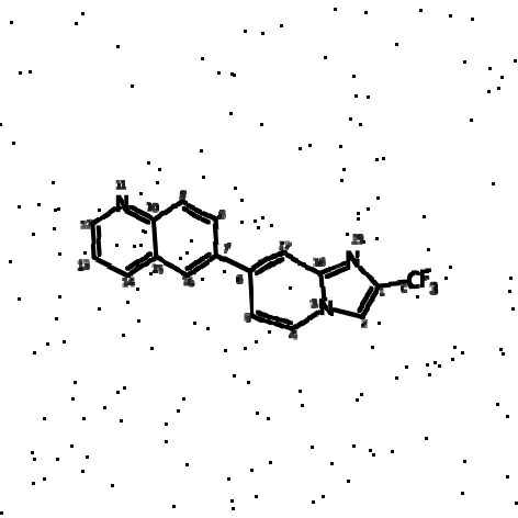 FC(F)(F)c1cn2ccc(-c3ccc4ncccc4c3)cc2n1